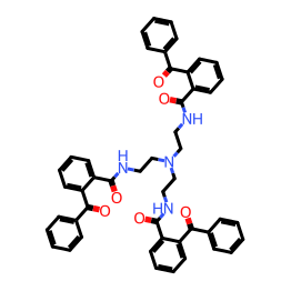 O=C(NCCN(CCNC(=O)c1ccccc1C(=O)c1ccccc1)CCNC(=O)c1ccccc1C(=O)c1ccccc1)c1ccccc1C(=O)c1ccccc1